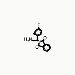 NCC(c1ccc(F)cc1)N1C(=O)c2ccccc2C1=O